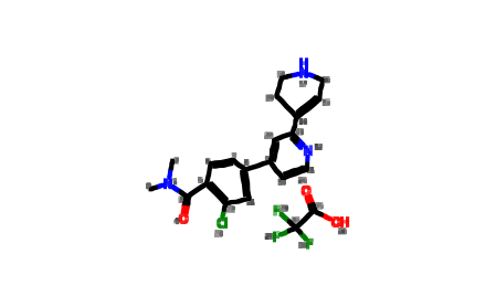 CN(C)C(=O)c1ccc(-c2ccnc(C3=CCNCC3)c2)cc1Cl.O=C(O)C(F)(F)F